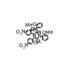 COc1ccccc1NC(=O)N(c1ccc([N+](=O)[O-])cc1O)N(C(=O)Nc1ccccc1OC)c1ccc([N+](=O)[O-])cc1O